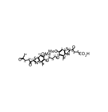 COc1cc2sc(C(=O)CCC(=O)O)nc2c(F)c1OCCCOc1c(OC)cc2sc(C(=O)CCC(=O)I)nc2c1F